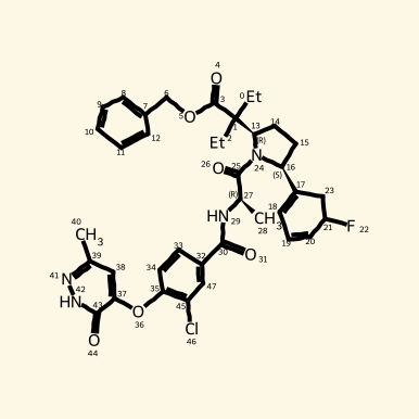 CCC(CC)(C(=O)OCc1ccccc1)[C@H]1CC[C@@H](C2=CC=CC(F)C2)N1C(=O)[C@@H](C)NC(=O)c1ccc(Oc2cc(C)n[nH]c2=O)c(Cl)c1